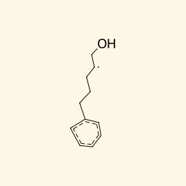 OC[CH]CCCc1ccccc1